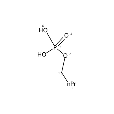 CCC[CH]OP(=O)(O)O